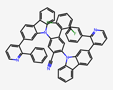 N#Cc1cc(-n2c3ccccc3c3ccc(-c4cccnc4-c4ccccc4)cc32)c(-c2c(F)cccc2F)cc1-n1c2ccccc2c2ccc(-c3cccnc3-c3ccccc3)cc21